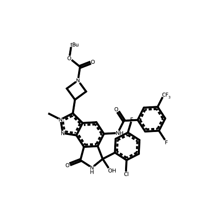 Cn1nc2c3c(c(NC(=O)c4cc(F)cc(C(F)(F)F)c4)cc2c1C1CN(C(=O)OC(C)(C)C)C1)C(O)(c1cc(F)ccc1Cl)NC3=O